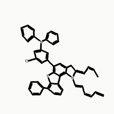 C=C/C=C\C=C\N1/C(=C/C=C\C)Cc2cc(-c3cc(Cl)cc(N(c4ccccc4)c4ccccc4)c3)c3sc4c(-c5ccccc5)cccc4c3c21